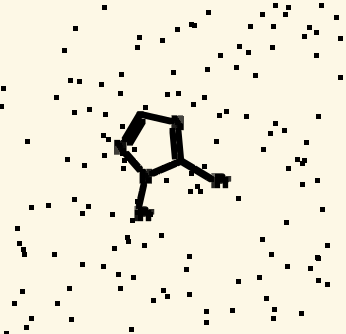 CC(C)c1ncnn1C(C)C